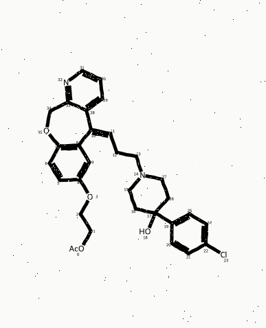 CC(=O)OCCOc1ccc2c(c1)C(=CCCN1CCC(O)(c3ccc(Cl)cc3)CC1)c1cccnc1CO2